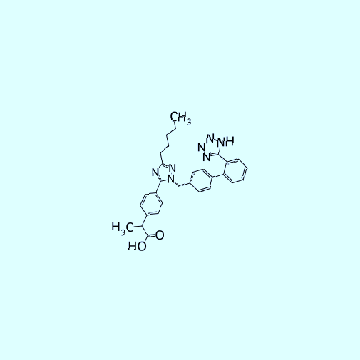 CCCCCc1nc(-c2ccc(C(C)C(=O)O)cc2)n(Cc2ccc(-c3ccccc3-c3nnn[nH]3)cc2)n1